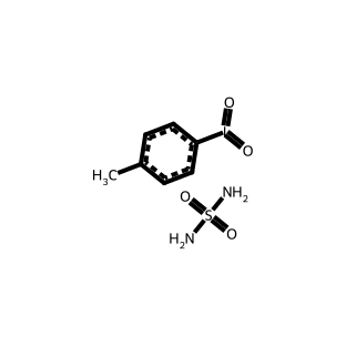 Cc1ccc(I(=O)=O)cc1.NS(N)(=O)=O